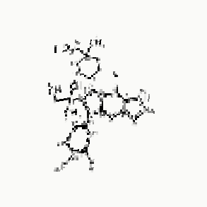 CC(C)(CC#N)c1c([C@H]2CC[C@](C)(C(=O)O)CC2)c2c(F)c3[nH]ncc3cc2n1-c1ccc(F)c(F)c1